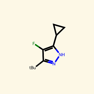 CC(C)(C)c1n[nH]c(C2CC2)c1F